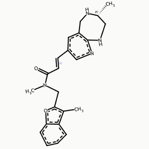 Cc1c(CN(C)C(=O)/C=C/c2cnc3c(c2)CN[C@H](C)CN3)oc2ccccc12